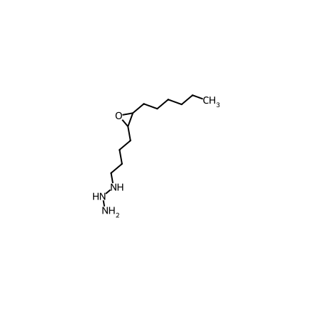 CCCCCCC1OC1CCCCNNN